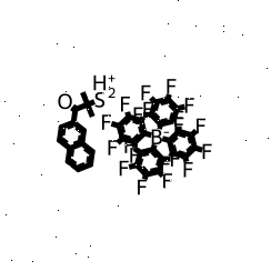 CC(C)([SH2+])C(=O)c1ccc2ccccc2c1.Fc1c(F)c(F)c([B-](c2c(F)c(F)c(F)c(F)c2F)(c2c(F)c(F)c(F)c(F)c2F)c2c(F)c(F)c(F)c(F)c2F)c(F)c1F